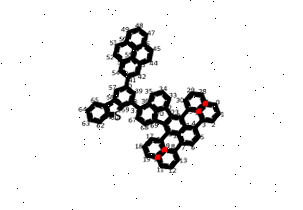 c1ccc(-c2ccc(-c3ccccc3)c3c(-c4ccccc4)c4c(c(-c5ccccc5)c23)-c2cccc3c(-c5cc(-c6cc7ccc8cccc9ccc(c6)c7c89)cc6c5sc5ccccc56)ccc-4c23)cc1